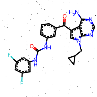 Nc1ncnc2c1c(C(=O)c1cccc(NC(=O)Nc3cc(F)cc(F)c3)c1)cn2CC1CC1